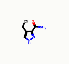 N#CCc1c[nH]nc1C(N)=O